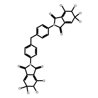 O=C1C2=CC(Cl)(Cl)C(Cl)C(Cl)=C2C(=O)N1c1ccc(Cc2ccc(N3C(=O)C4=CC(Cl)(Cl)C(Cl)C(Cl)=C4C3=O)cc2)cc1